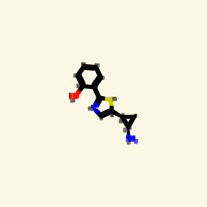 N[C@H]1C[C@@H]1c1cnc(-c2ccccc2O)s1